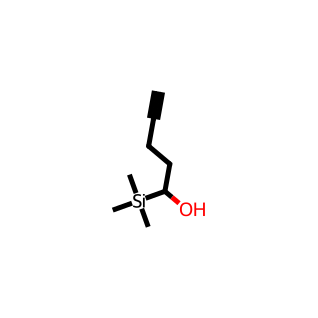 C#CCCC(O)[Si](C)(C)C